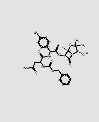 CNC(=O)CC(NC(=O)OCc1ccccc1)C(=O)NC(C(=O)N[C@@H]1C(=O)N2[C@@H]1SC(C)(C)[C@@H]2C(=O)O)c1ccc(O)cc1